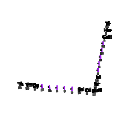 [Cd].[CsH].[Dy].[Ho].[I].[I].[I].[I].[I].[I].[I].[I].[I].[I].[In].[NaH].[Sc].[Sn].[Th].[Tl].[Tm]